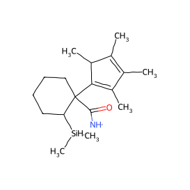 CC1=C(C)C(C)C(C2(C([NH])=O)CCCCC2[SiH](C)C)=C1C